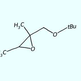 CC1OC1(C)COC(C)(C)C